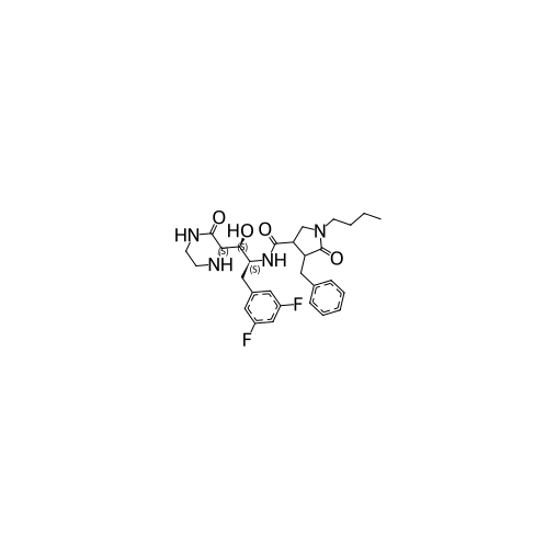 CCCCN1CC(C(=O)N[C@@H](Cc2cc(F)cc(F)c2)[C@H](O)[C@@H]2NCCNC2=O)C(Cc2ccccc2)C1=O